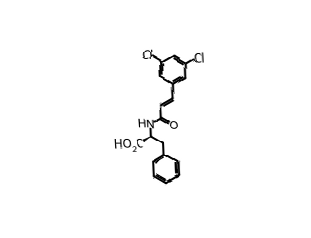 O=C(/C=C/c1cc(Cl)cc(Cl)c1)N[C@@H](Cc1ccccc1)C(=O)O